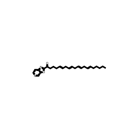 CCCCCC=CCC=CCC=CCC=CCCCC(=O)c1nc2ccncc2o1